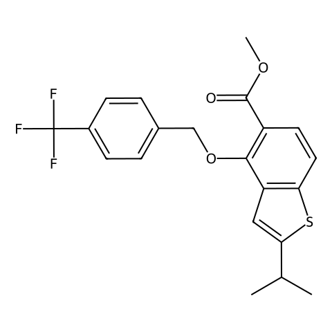 COC(=O)c1ccc2sc(C(C)C)cc2c1OCc1ccc(C(F)(F)F)cc1